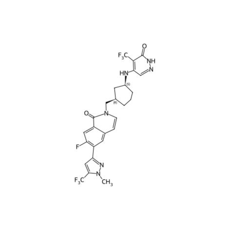 Cn1nc(-c2cc3ccn(C[C@@H]4CCC[C@H](Nc5cn[nH]c(=O)c5C(F)(F)F)C4)c(=O)c3cc2F)cc1C(F)(F)F